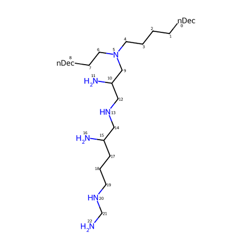 CCCCCCCCCCCCCCN(CCCCCCCCCCCC)CC(N)CNCC(N)CCCNCN